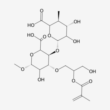 C=C(C)C(=O)OC(CO)CO[C@@H]1C(O)[C@H](OC)OC(C(=O)O)[C@H]1O[C@@H]1OC(C(=O)O)[C@@H](C)[C@H](O)C1O